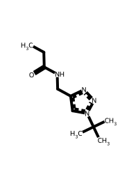 CCC(=O)NCc1cn(C(C)(C)C)nn1